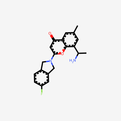 Cc1cc(C(C)N)c2oc(N3Cc4ccc(F)cc4C3)cc(=O)c2c1